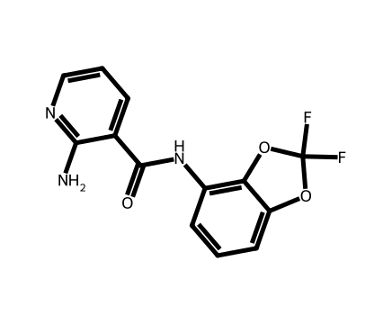 Nc1ncccc1C(=O)Nc1cccc2c1OC(F)(F)O2